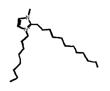 CCCCCCCCCCCCc1n(C)cc[n+]1CCCCCCCC